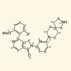 COc1cccc(F)c1-c1nccc2c1CN(c1cccc(N3CCC4(CCNC4)CC3)n1)C2=O